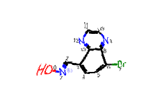 O/N=C/c1ccc(Br)c2nccnc12